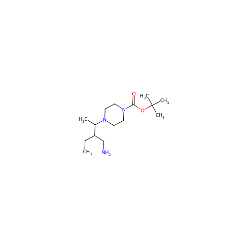 CCC(CN)C(C)N1CCN(C(=O)OC(C)(C)C)CC1